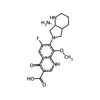 COc1c(N2CC3CCCN[C@]3(N)C2)c(F)cc2c(=O)c(C(=O)O)c[nH]c12